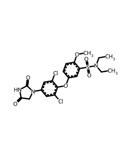 CCN(CC)S(=O)(=O)c1cc(Oc2c(Cl)cc(N3CC(=O)NC3=O)cc2Cl)ccc1OC